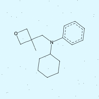 CC1(CN(c2ccccc2)C2CCCCC2)COC1